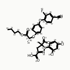 CC1(C(=O)O)CC(C(=O)O)=NN1c1ccc(Cl)cc1Cl.CCCCOC(=O)[C@@H](C)Oc1ccc(Oc2ccc(C#N)cc2F)cc1